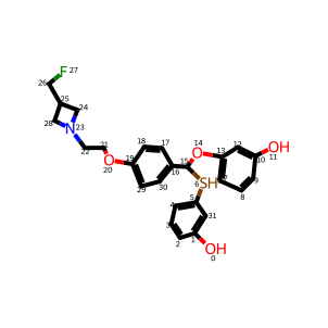 Oc1cccc([SH]2c3ccc(O)cc3OC2c2ccc(OCCN3CC(CF)C3)cc2)c1